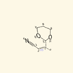 C/C(=C/C#N)C1OCCCO1